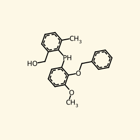 COc1cccc(Pc2c(C)cccc2CO)c1OCc1ccccc1